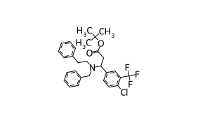 CC(C)(C)OC(=O)CC(c1ccc(Cl)c(C(F)(F)F)c1)N(CCc1ccccc1)Cc1ccccc1